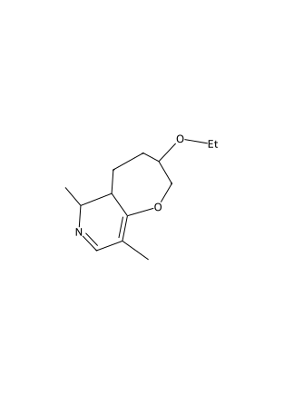 CCOC1CCC2C(=C(C)C=NC2C)OC1